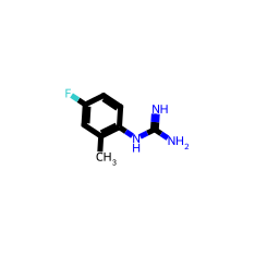 Cc1cc(F)ccc1NC(=N)N